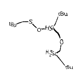 CC(C)(C)[SiH2]O[SiH](OSC(C)(C)C)C(C)(C)C